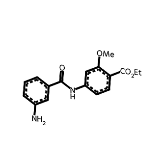 CCOC(=O)c1ccc(NC(=O)c2cccc(N)c2)cc1OC